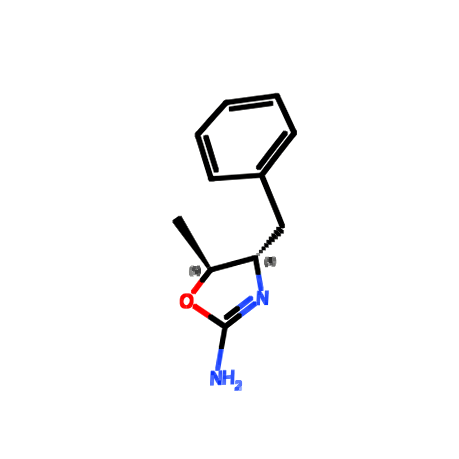 C[C@@H]1OC(N)=N[C@H]1Cc1ccccc1